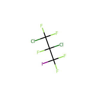 FC(F)(Cl)C(F)(Cl)C(F)(F)I